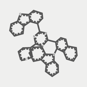 c1ccc(-c2nc(-c3ccc4ccccc4c3-n3c4ccccc4c4ccccc43)nc(-c3cccc4oc5ccccc5c34)n2)cc1